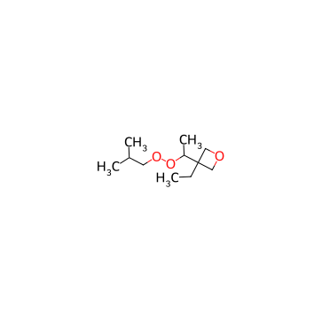 CCC1(C(C)OOCC(C)C)COC1